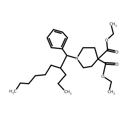 CCCCCCC(CCC)C(c1ccccc1)N1CCC(C(=O)OCC)(C(=O)OCC)CC1